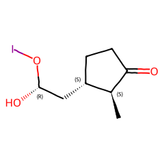 C[C@@H]1C(=O)CC[C@H]1C[C@H](O)OI